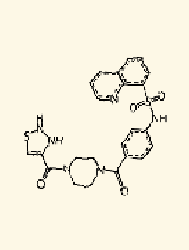 O=C(C1=CSNN1)N1CCN(C(=O)c2ccc(NS(=O)(=O)c3cccc4cccnc34)cc2)CC1